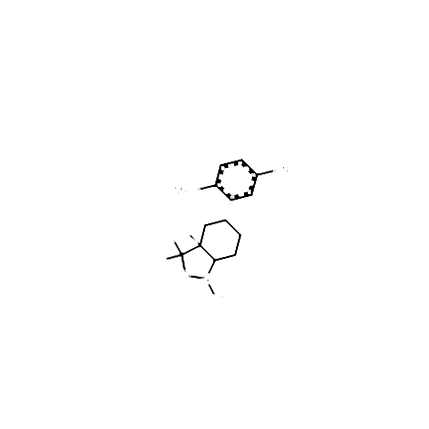 COc1ccc(C#N)cc1[C@H]1C[C@@H]2[C@@H]([C@@H](C)C1)N(C(C)C)OC2(C)C